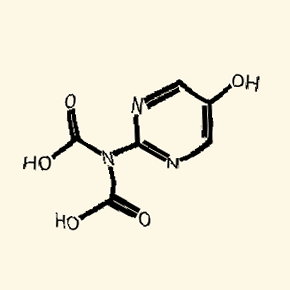 O=C(O)N(C(=O)O)c1ncc(O)cn1